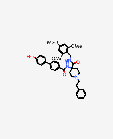 COc1cc(OC)c(CNC(=O)C2(NC(=O)c3ccc(-c4ccc(O)cc4)cc3)CCN(CCc3ccccc3)CC2)c(OC)c1